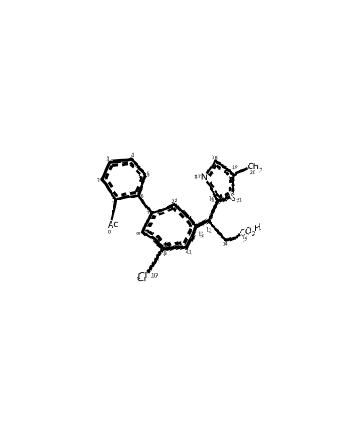 CC(=O)c1ccccc1-c1cc(Cl)cc(C(CC(=O)O)c2ncc(C)s2)c1